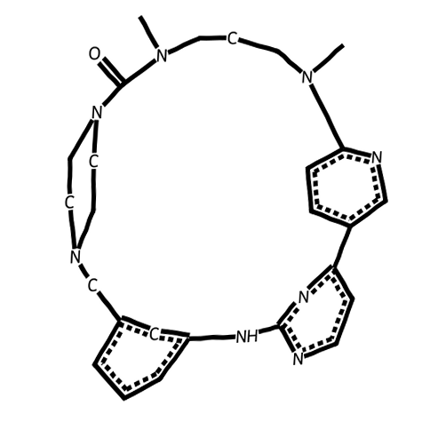 CN1CCCN(C)c2ccc(cn2)-c2ccnc(n2)Nc2cccc(c2)CN2CCN(CC2)C1=O